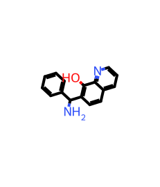 NC(c1ccccc1)c1ccc2cccnc2c1O